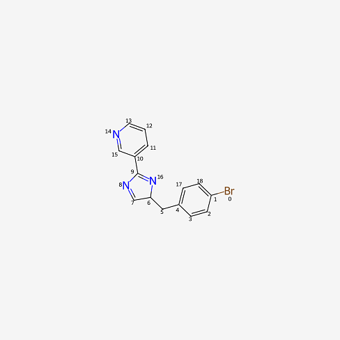 Brc1ccc(CC2C=NC(c3cccnc3)=N2)cc1